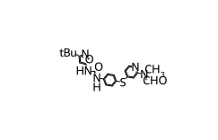 CN(C=O)c1cc(Sc2ccc(NC(=O)Nc3cc(C(C)(C)C)no3)cc2)ccn1